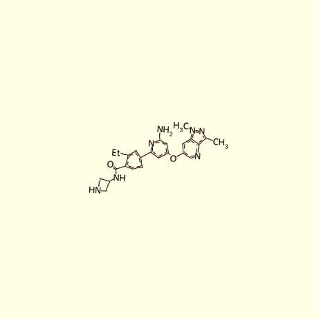 CCc1cc(-c2cc(Oc3cnc4c(C)nn(C)c4c3)cc(N)n2)ccc1C(=O)NC1CNC1